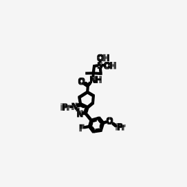 CC(C)Oc1ccc(F)c(-c2nn(C(C)C)c3c2CCC(C(=O)NC2(C)CS(O)(O)C2)C3)c1